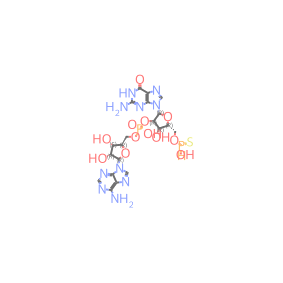 Nc1nc2c(ncn2[C@@H]2O[C@H](CO[PH](O)=S)[C@@H](O)[C@H]2OP(=O)(O)OC[C@H]2O[C@@H](n3cnc4c(N)ncnc43)[C@H](O)[C@@H]2O)c(=O)[nH]1